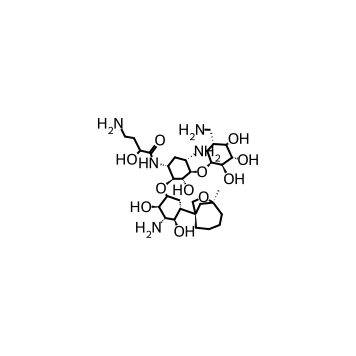 C[C@@]12CCCC[C@@]([C@H]3C[C@H](O[C@@H]4[C@@H](O)[C@H](O[C@H]5C[C@H](CN)[C@@H](O)[C@H](O)[C@H]5O)[C@@H](N)C[C@H]4NC(=O)C(O)CCN)[C@H](O)[C@@H](N)[C@@H]3O)(CO1)C2